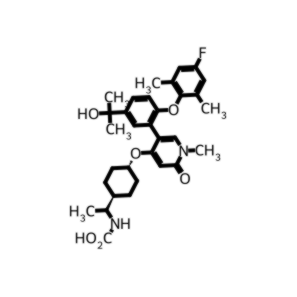 Cc1cc(F)cc(C)c1Oc1ccc(C(C)(C)O)cc1-c1cn(C)c(=O)cc1O[C@H]1CC[C@H](C(C)NC(=O)O)CC1